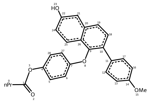 CCCC(=O)Oc1ccc(Oc2c(-c3ccc(OC)cc3)ccc3cc(O)ccc23)cc1